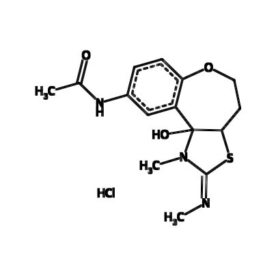 CN=C1SC2CCOc3ccc(NC(C)=O)cc3C2(O)N1C.Cl